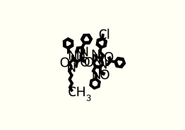 CCCCCCN1Cc2c(n(Cc3ccccc3)c3cc(-c4ccccc4)nn3c2=O)C1=O.O=C(Cn1c2c(c(=O)n3nc(-c4ccc(Cl)cc4)cc13)CN(C1CCCCC1)C2=O)c1ccccc1